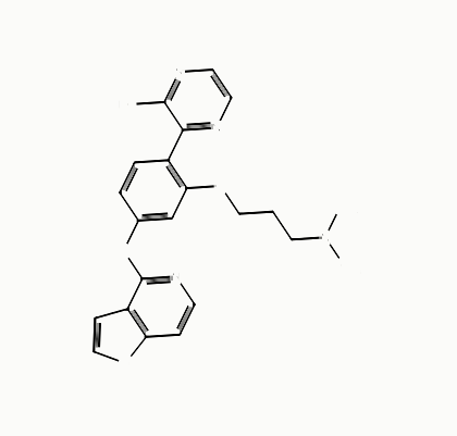 Cc1nccnc1-c1ccc(Oc2nccc3occc23)cc1OCCCN(C)C